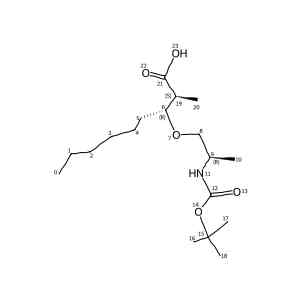 CCCCCC[C@@H](OC[C@@H](C)NC(=O)OC(C)(C)C)[C@H](C)C(=O)O